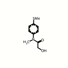 CSc1ccc(N(C)C(=O)CO)cc1